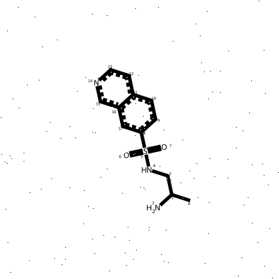 CC(N)CNS(=O)(=O)c1ccc2ccncc2c1